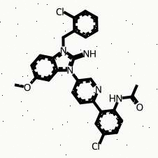 COc1ccc2c(c1)n(-c1ccc(-c3cc(Cl)ccc3NC(C)=O)nc1)c(=N)n2Cc1ccccc1Cl